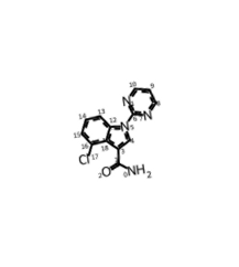 NC(=O)c1cn(-c2ncccn2)c2cccc(Cl)c12